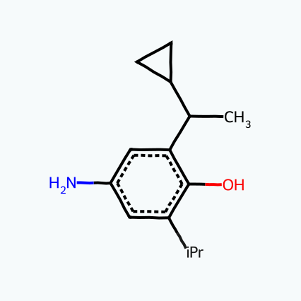 CC(C)c1cc(N)cc(C(C)C2CC2)c1O